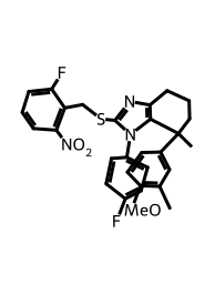 COc1ccc(C2(C)CCCc3nc(SCc4c(F)cccc4[N+](=O)[O-])n(-c4ccc(F)cc4)c32)cc1C